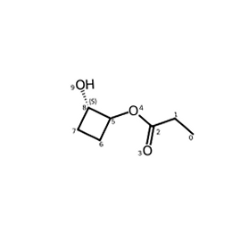 CCC(=O)OC1CC[C@@H]1O